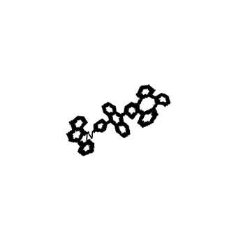 c1ccc2c(c1)-c1ccccc1-c1ccc(-c3c4ccccc4c(-c4ccc(-n5c6ccccc6c6ccc7ccccc7c65)cc4)c4ccccc34)cc1-c1ccccc1-2